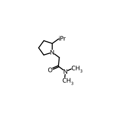 CC(C)C1CCCN1CC(=O)N(C)C